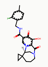 Cc1ccc(CNC(=O)c2cn3c(c(O)c2=O)C(=O)N2CCCC4(CC4)[C@@H]3C2)c(F)c1